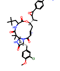 COc1ccc(C[C@@H]2C(=O)N[C@H]3N2C(=O)/C=C/C[C@@H](C(C)C2OC2c2ccc(CN)cc2)OC(=O)C(CC(C)(C)C)NC(=O)C3(C)C)cc1Cl